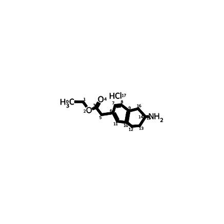 CCOC(=O)Cc1ccc2c(c1)CCC(N)C2.Cl